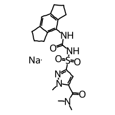 CN(C)C(=O)c1cc(S(=O)(=O)NC(=O)Nc2c3c(cc4c2CCC4)CCC3)nn1C.[Na]